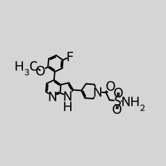 COc1ccc(F)cc1-c1ccnc2[nH]c(C3=CCN(C(=O)CS(N)(=O)=O)CC3)cc12